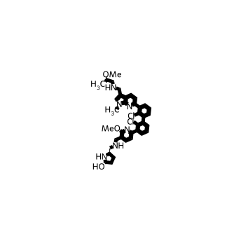 COc1nc(-c2cccc(-c3cccc(-c4ccc5c(CNC[C@H](C)OC)cn(C)c5n4)c3Cl)c2Cl)ccc1CNC[C@@H]1CCC(O)N1